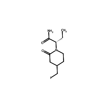 CC[C@@H](C(N)=O)N1CCC(CI)CC1=O